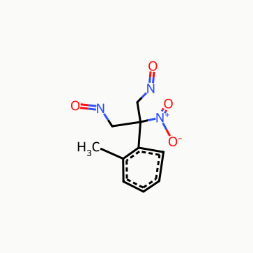 Cc1ccccc1C(CN=O)(CN=O)[N+](=O)[O-]